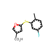 Cc1ccc(F)cc1Sc1cc(C(=O)O)co1